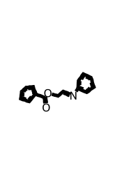 O=C(OCC=Nc1ccccc1)c1ccccc1